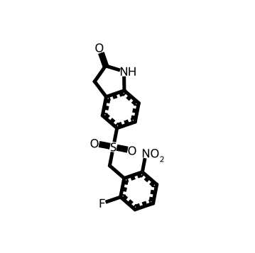 O=C1Cc2cc(S(=O)(=O)Cc3c(F)cccc3[N+](=O)[O-])ccc2N1